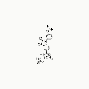 C[C@@]1(NC(=O)c2ccc3c(c2)C2(CC2)C(=O)N3c2cccc(OC(F)F)c2)CCS(=O)(=O)C1